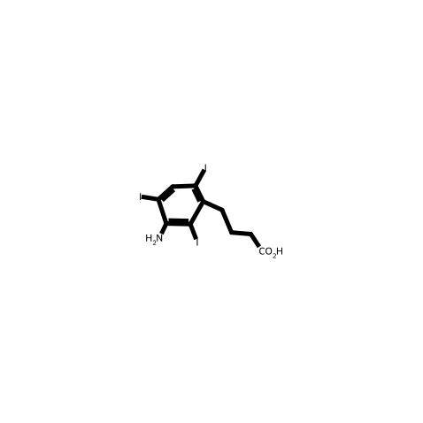 Nc1c(I)cc(I)c(CCCC(=O)O)c1I